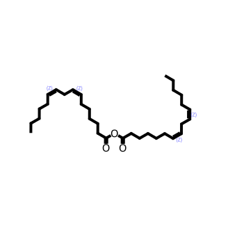 CCCCC/C=C\C/C=C\CCCCCC(=O)OC(=O)CCCCC/C=C\C/C=C\CCCCC